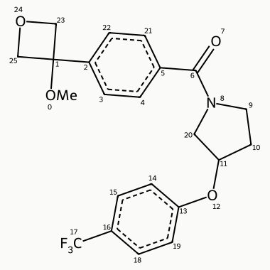 COC1(c2ccc(C(=O)N3CCC(Oc4ccc(C(F)(F)F)cc4)C3)cc2)COC1